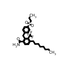 CCCCCCCCc1ccc(C(N)=O)c(Cc2ccc(S(=O)(=O)CCC)cc2)c1C(F)(F)F